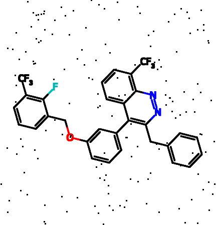 Fc1c(COc2cccc(-c3c(Cc4ccccc4)nnc4c(C(F)(F)F)cccc34)c2)cccc1C(F)(F)F